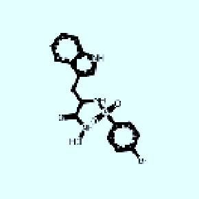 O=C(NO)C(Cc1c[nH]c2ccccc12)NS(=O)(=O)c1ccc(Br)cc1